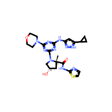 C[C@@]1(C(=O)Nc2nccs2)C[C@H](O)CN1c1nc(Nc2cc(C3CC3)[nH]n2)nc(N2CCOCC2)n1